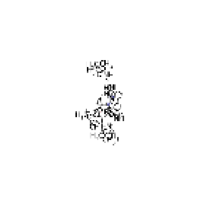 COc1ccc(CN(Cc2ccc(OC)cc2)S(=O)(=O)c2c(S(=O)(=O)NCCNC(=O)OC(C)(C)C)ccc(-c3cccc(C(=O)NCCCNC(=O)OC(C)(C)C)c3)c2C2=N/c3cc(ccc3OC)CN/N=N\2)cc1